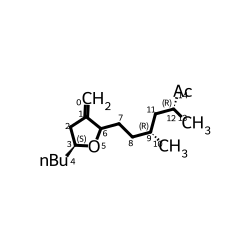 C=C1C[C@H](CCCC)OC1CC[C@@H](C)C[C@@H](C)C(C)=O